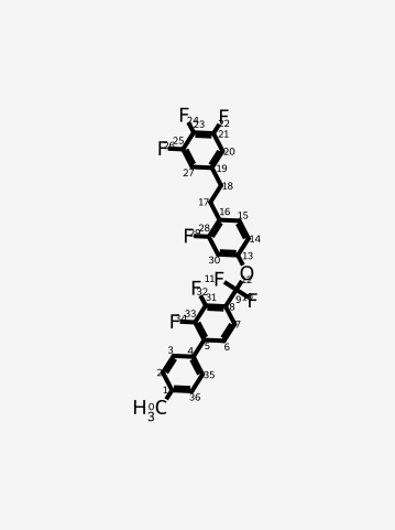 Cc1ccc(-c2ccc(C(F)(F)Oc3ccc(CCc4cc(F)c(F)c(F)c4)c(F)c3)c(F)c2F)cc1